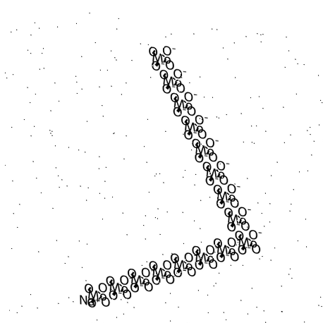 [Na+].[O]=[Mo](=[O])([O-])[O-].[O]=[Mo](=[O])([O-])[O-].[O]=[Mo](=[O])([O-])[O-].[O]=[Mo](=[O])([O-])[O-].[O]=[Mo](=[O])([O-])[O-].[O]=[Mo](=[O])([O-])[O-].[O]=[Mo](=[O])([O-])[O-].[O]=[Mo](=[O])([O-])[O-].[O]=[Mo](=[O])([O-])[O-].[O]=[Mo](=[O])([O-])[O-].[O]=[Mo](=[O])([O-])[O-].[O]=[Mo](=[O])([O-])[O-].[O]=[Mo](=[O])([O-])[O-].[O]=[Mo](=[O])([O-])[O-].[O]=[Mo](=[O])([O-])[O-].[O]=[Mo](=[O])([O-])[O-]